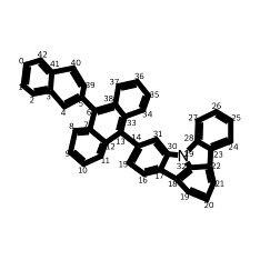 c1ccc2cc(-c3c4ccccc4c(-c4ccc5c6cccc7c8ccccc8n(c5c4)c76)c4ccccc34)ccc2c1